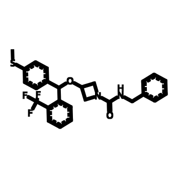 CSc1ccc(C(OC2CN(C(=O)NCc3ccccc3)C2)c2ccccc2C(F)(F)F)cc1